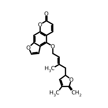 C=C1OC(C/C(C)=C/COc2c3ccoc3cc3oc(=O)ccc23)C=C1C